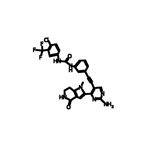 Cn1c(-c2nc(N)ncc2C#Cc2cccc(NC(=O)Nc3ccc(Cl)c(C(F)(F)F)c3)c2)cc2c1CCNC2=O